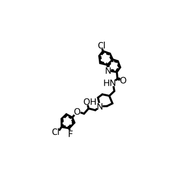 O=C(NCC1CCN(CC(O)COc2ccc(Cl)c(F)c2)CC1)c1ccc2cc(Cl)ccc2n1